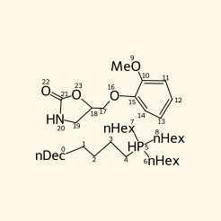 CCCCCCCCCCCCCC[PH](CCCCCC)(CCCCCC)CCCCCC.COc1ccccc1OCC1CNC(=O)O1